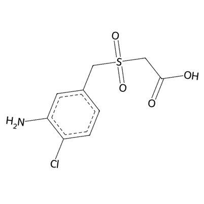 Nc1cc(CS(=O)(=O)CC(=O)O)ccc1Cl